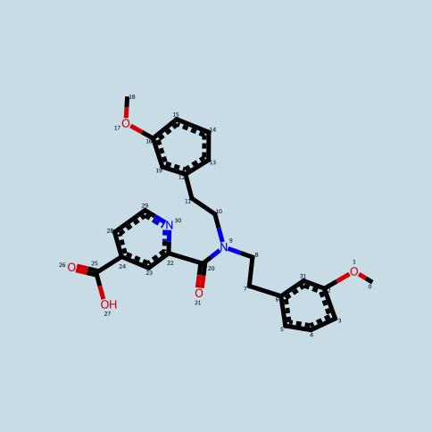 COc1cccc(CCN(CCc2cccc(OC)c2)C(=O)c2cc(C(=O)O)ccn2)c1